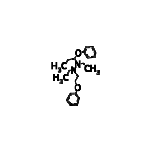 CCC(Oc1ccccc1)N(CC)N(CC)CCOc1ccccc1